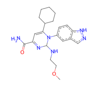 COCCNC1N=C(C(N)=O)C=C(C2CCCCC2)N1c1ccc2[nH]ncc2c1